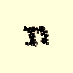 CC(C)(C)OC(=O)N1CCN(c2cc(C3CC3)cn3cc(CNc4cc(NC(=O)[C@H]5C[C@@H]5c5cccc(Cl)c5)ncn4)nc23)CC1